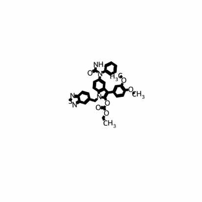 CCOC(=O)Oc1c(-c2ccc(OC)c(OC)c2)c2cc(N(C(N)=O)c3ccccc3)ccc2n1Cc1ccc2nsnc2c1